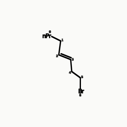 CCCCC=CCCBr